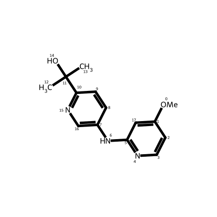 COc1ccnc(Nc2ccc(C(C)(C)O)nc2)c1